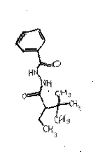 CCC(C(=O)NNC(=O)c1ccccc1)C(C)(C)C